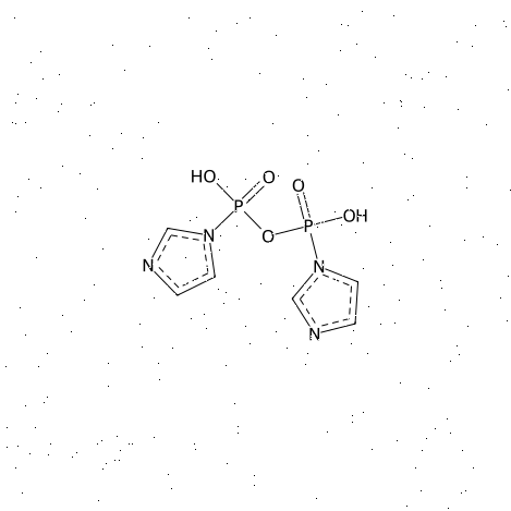 O=P(O)(OP(=O)(O)n1ccnc1)n1ccnc1